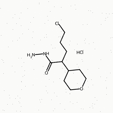 Cl.NNC(=O)C(CCCCl)C1CCOCC1